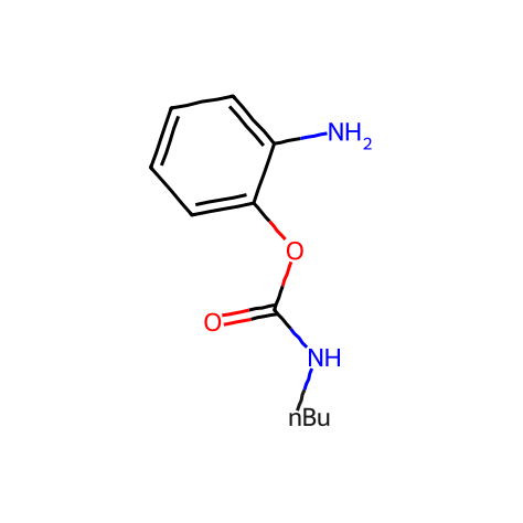 CCCCNC(=O)Oc1ccccc1N